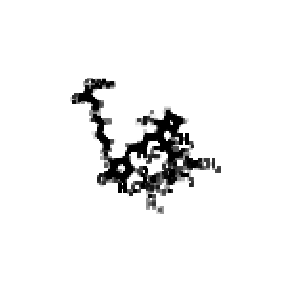 CCCC1(C(CC=C[C@H]2[C@H](O[Si](C)(C)C(C)(C)C)CC(=O)[C@@H]2SCCCSCC(=O)OC)C(C)(C)C(O[SiH2]C)O[SiH2]C)CCC1